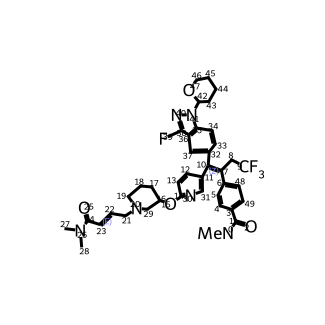 CNC(=O)c1ccc(/C(CC(F)(F)F)=C(\c2ccc(OC3CCCN(C/C=C/C(=O)N(C)C)C3)nc2)c2ccc3c(c2)c(F)nn3C2CCCCO2)cc1